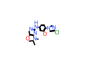 COc1cc(Nc2ncc3c(n2)N(C)C(C)CO3)ccc1-n1cnc(Cl)c1